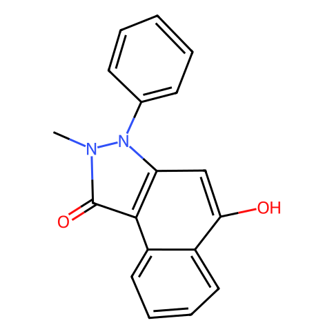 Cn1c(=O)c2c3ccccc3c(O)cc2n1-c1ccccc1